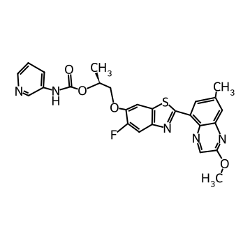 COc1cnc2c(-c3nc4cc(F)c(OC[C@H](C)OC(=O)Nc5cccnc5)cc4s3)cc(C)cc2n1